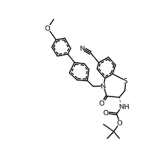 COc1ccc(-c2ccc(CN3C(=O)[C@@H](NC(=O)OC(C)(C)C)CSc4ccc(C#N)cc43)cc2)cc1